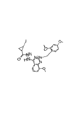 COc1ccc(CNc2nc(NNC(=O)C3CC3I)c3cccc(OC)c3n2)c(OC)c1